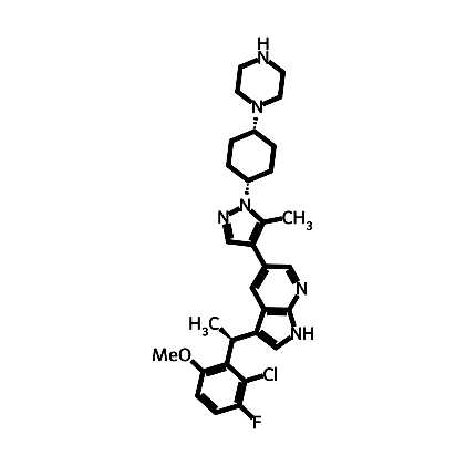 COc1ccc(F)c(Cl)c1[C@@H](C)c1c[nH]c2ncc(-c3cnn([C@H]4CC[C@@H](N5CCNCC5)CC4)c3C)cc12